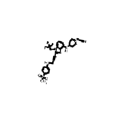 CS(=O)(=O)c1ccc(NCC#Cc2cc3c(NC4CCN(CC#N)CC4)cccc3n2CC(F)(F)F)cc1